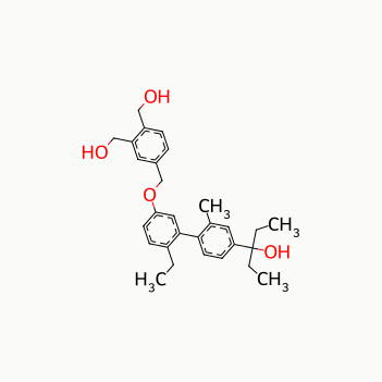 CCc1ccc(OCc2ccc(CO)c(CO)c2)cc1-c1ccc(C(O)(CC)CC)cc1C